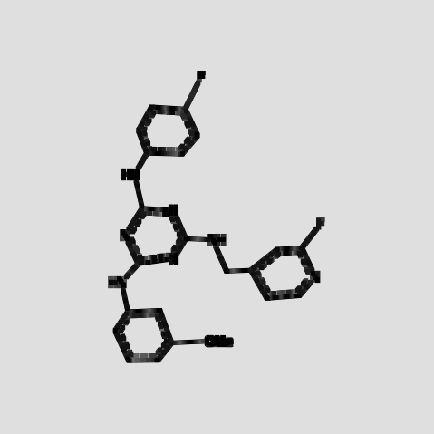 COc1cccc(Nc2nc(NCc3ccnc(F)c3)nc(Nc3ccc(F)cc3)n2)c1